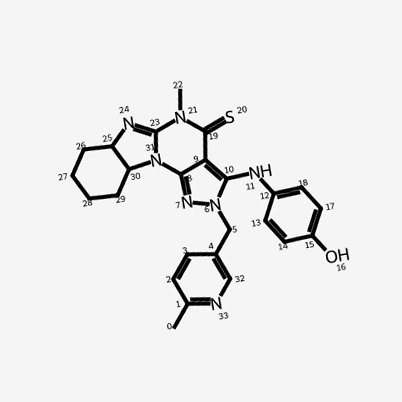 Cc1ccc(Cn2nc3c(c2Nc2ccc(O)cc2)C(=S)N(C)C2=NC4CCCCC4N23)cn1